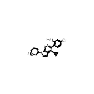 Oc1cc(Cl)ccc1-c1nnc2c(ccn2[C@@H]2CCCNC2)c1C1CC1